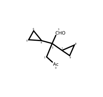 CC(=O)CC(C=O)(C1CC1)C1CC1